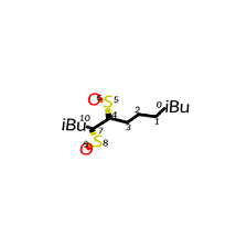 CCC(C)CCCC(=S=O)C(=S=O)C(C)CC